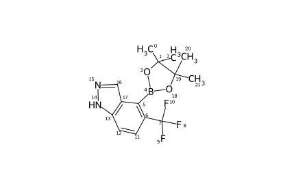 CC1(C)OB(c2c(C(F)(F)F)ccc3[nH]ncc23)OC1(C)C